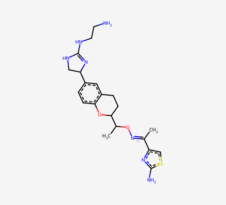 C/C(=N\OC(C)C1CCc2cc(C3CNC(NCCN)=N3)ccc2O1)c1csc(N)n1